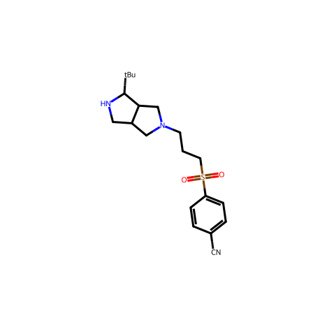 CC(C)(C)C1NCC2CN(CCCS(=O)(=O)c3ccc(C#N)cc3)CC21